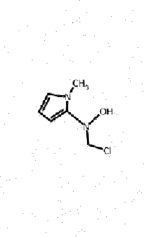 Cn1cccc1N(O)CCl